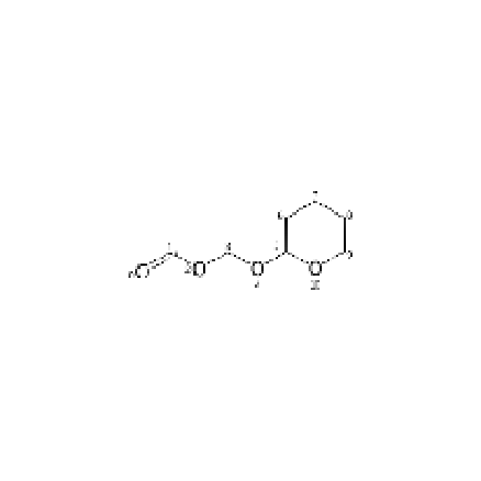 O=[C]OCOC1CCCCO1